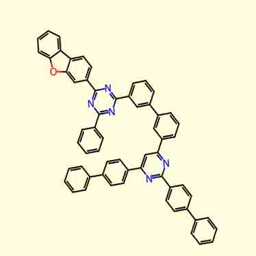 c1ccc(-c2ccc(-c3cc(-c4cccc(-c5cccc(-c6nc(-c7ccccc7)nc(-c7ccc8c(c7)oc7ccccc78)n6)c5)c4)nc(-c4ccc(-c5ccccc5)cc4)n3)cc2)cc1